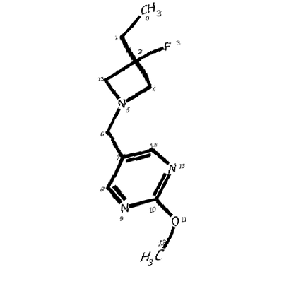 CCC1(F)CN(Cc2cnc(OC)nc2)C1